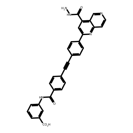 NNC(=O)c1cc(-c2ccc(C#Cc3ccc(C(=O)Nc4cccc(C(=O)O)c4)cc3)cc2)nc2ccncc12